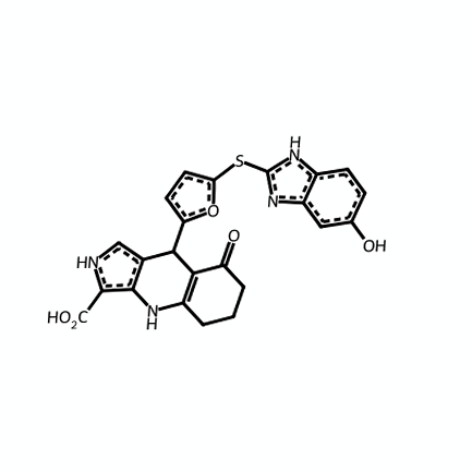 O=C1CCCC2=C1C(c1ccc(Sc3nc4cc(O)ccc4[nH]3)o1)c1c[nH]c(C(=O)O)c1N2